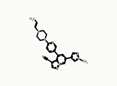 CC=CN1CCN(c2ccc(-c3cc(-c4cnn(C)c4)cn4ncc(C#N)c34)cn2)CC1